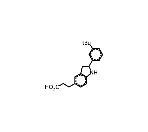 CC(C)(C)c1cccc(C2Cc3cc(CCC(=O)O)ccc3N2)c1